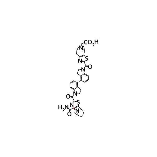 NC(=O)CN1C2CCC1c1sc(C(=O)N3CCc4c(-c5cccc6c5CCN6C(=O)c5nc6c(s5)C5CCC(C6)N5CC(=O)O)cccc43)nc1C2